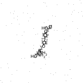 CC(C)(c1ccc(OCCCN(N)/C=C(\N)CO)cc1)c1ccc(OCC(O)CCl)cc1